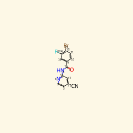 N#Cc1ccnc(NC(=O)c2ccc(Br)c(F)c2)c1